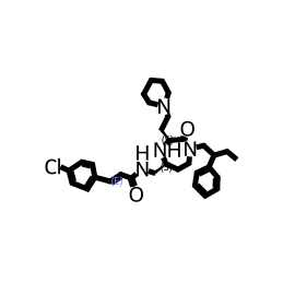 CCC(CN1CC[C@@H](CNC(=O)/C=C/c2ccc(Cl)cc2)N[C@@H](CCN2CCCCC2)C1=O)c1ccccc1